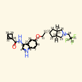 O=C(Nc1c[nH]c2ccc(OCC[C@@H]3C[C@@H]4CN(CC(F)(F)F)C[C@@H]4C3)cc12)C12CC(C1)C2